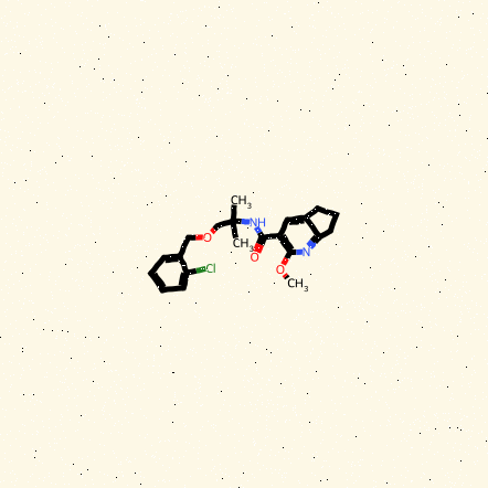 COc1nc2c(cc1C(=O)NC(C)(C)COCc1ccccc1Cl)CCC2